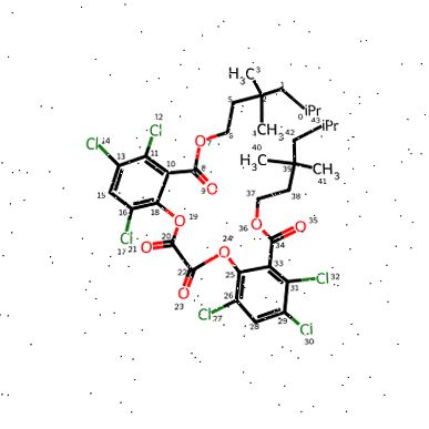 CC(C)CC(C)(C)CCOC(=O)c1c(Cl)c(Cl)cc(Cl)c1OC(=O)C(=O)Oc1c(Cl)cc(Cl)c(Cl)c1C(=O)OCCC(C)(C)CC(C)C